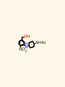 CC(=O)N[C@H]1CC[C@H](Nc2cc(CO)ccc2[N+](=O)[O-])CC1